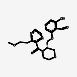 COCCc1nccnc1C(=O)N1CCOC[C@H]1COc1cccc(O)c1C=O